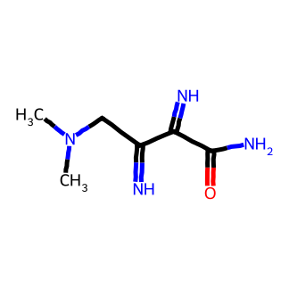 CN(C)CC(=N)C(=N)C(N)=O